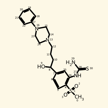 CS(=O)(=O)c1ccc(C(O)CCCN2CCN(c3ccccc3)CC2)cc1NC(N)=S